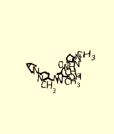 Cc1nc(N2CC3CC3C2)ccc1Cn1cc(C(=O)N[C@@H]2CCc3c2ncn3C)c(C(C)(C)O)n1